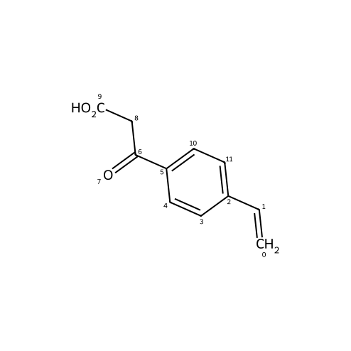 C=Cc1ccc(C(=O)CC(=O)O)cc1